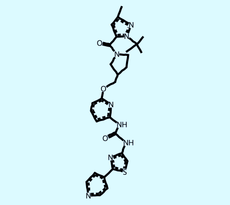 Cc1cc(C(=O)N2CCC(COc3cccc(NC(=O)Nc4csc(-c5ccncc5)n4)n3)C2)n(C(C)(C)C)n1